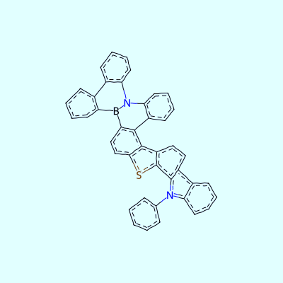 c1ccc(-n2c3ccccc3c3ccc4c(sc5ccc6c(c54)-c4ccccc4N4B6c5ccccc5-c5ccccc54)c32)cc1